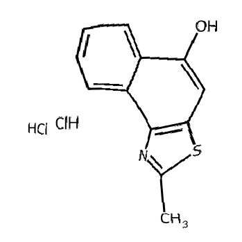 Cc1nc2c(cc(O)c3ccccc32)s1.Cl.Cl